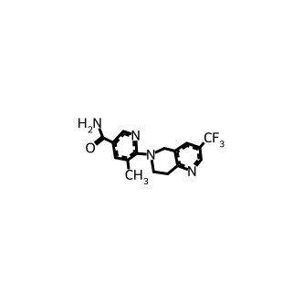 Cc1cc(C(N)=O)cnc1N1CCc2ncc(C(F)(F)F)cc2C1